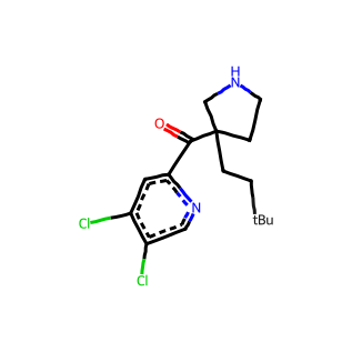 CC(C)(C)CCC1(C(=O)c2cc(Cl)c(Cl)cn2)CCNC1